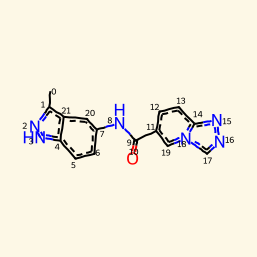 Cc1n[nH]c2ccc(NC(=O)c3ccc4nncn4c3)cc12